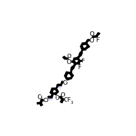 C=CC(=O)Oc1cc(C#Cc2ccc(COC(=O)C(=C)F)cc2)c(F)c(F)c1C#Cc1ccc(OC/C=C/c2ccc(/C=C/OC(=O)C(=C)C)c(OC(=O)C(=C)C(F)(F)F)c2)cc1